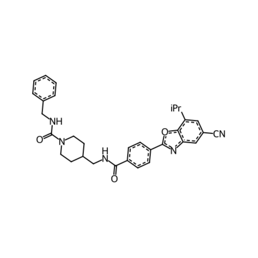 CC(C)c1cc(C#N)cc2nc(-c3ccc(C(=O)NCC4CCN(C(=O)NCc5ccccc5)CC4)cc3)oc12